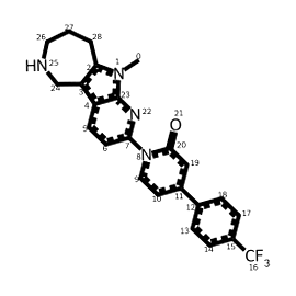 Cn1c2c(c3ccc(-n4ccc(-c5ccc(C(F)(F)F)cc5)cc4=O)nc31)CNCCC2